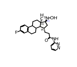 C[C@]12CCC3c4ccc(F)cc4CCC3C1[C@H](CCC(=O)Nc1cccnn1)C/C2=N\O